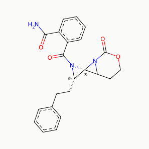 NC(=O)c1ccccc1C(=O)N1[C@@H](CCc2ccccc2)[C@@]12C1CCOC(=O)N12